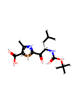 Cc1nc(C(=O)[C@H](CC(C)C)NC(=O)OC(C)(C)C)sc1C(=O)O